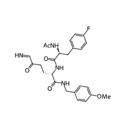 COc1ccc(CNC(=O)[C@H](CCC(=O)C=N)NC(=O)[C@H](Cc2ccc(F)cc2)NC(C)=O)cc1